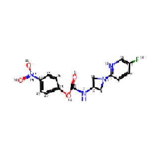 O=C(NC1CN(c2ccc(F)cn2)C1)Oc1ccc([N+](=O)[O-])cc1